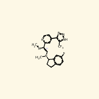 C=N/C(=C\N(C)C1CCc2ccc(F)cc21)c1cc(-c2nn[nH]c2C(F)(F)F)ccn1